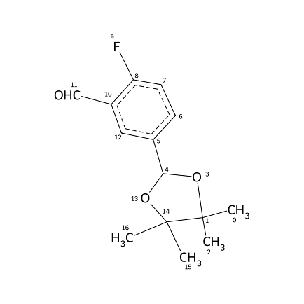 CC1(C)OC(c2ccc(F)c(C=O)c2)OC1(C)C